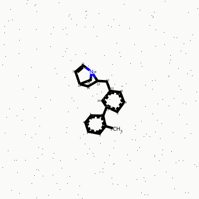 Cc1ccccc1-c1cccc(CC2CC3C=CN2C3)c1